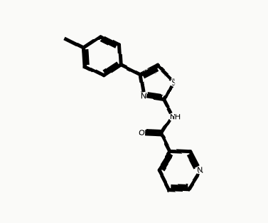 Cc1ccc(-c2csc(NC(=O)c3cccnc3)n2)cc1